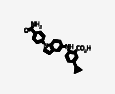 NC(=O)c1ccc(-n2ccc3cc(Nc4ccc(C5CC5)cc4C(=O)O)ccc32)cc1